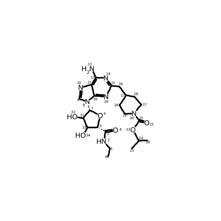 CCNC(=O)[C@H]1O[C@@H](n2cnc3c(N)nc(CC4CCN(C(=O)OC(C)C)CC4)nc32)C(O)C1O